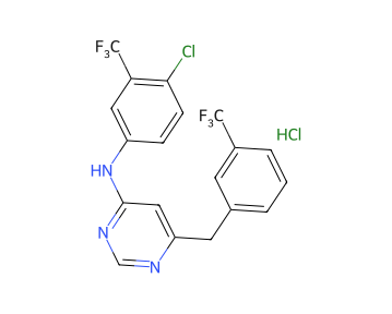 Cl.FC(F)(F)c1cccc(Cc2cc(Nc3ccc(Cl)c(C(F)(F)F)c3)ncn2)c1